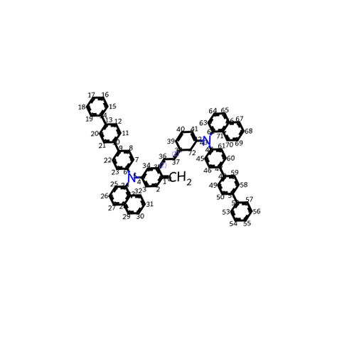 C=c1ccc(N(c2ccc(-c3ccc(-c4ccccc4)cc3)cc2)c2cccc3ccccc23)c/c1=C/C=C1\C=CC=C(N(c2ccc(-c3ccc(-c4ccccc4)cc3)cc2)c2cccc3ccccc23)C1